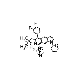 COC(C)(C)Cc1nc([N+]23CCN(CC2)CC3)c2cc3c(cnn3C3CCCCO3)cc2c1-c1ccc(F)c(F)c1